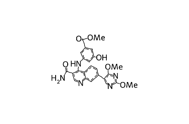 COC(=O)c1cc(O)cc(Nc2c(C(N)=O)cnc3cc(-c4cnc(OC)nc4OC)ccc23)c1